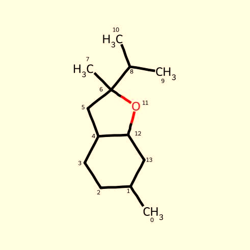 CC1CCC2CC(C)(C(C)C)OC2C1